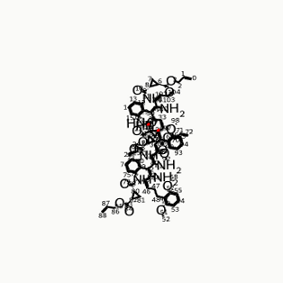 C=CCOC(=O)[C@@H]1C[C@H]1C(=O)Nc1cccc(NC(=O)C2(C(=O)OCC=C)CC2)c1/C(C(=N)\C=C/C=C(/C=C/C=C(N)/C(=C(N)/C=C\CCc1c(OC)cccc1OC)c1c(NC(=O)[C@@H]2C[C@H]2C(=O)OCC=C)cccc1NC(=O)[C@@H]1C[C@H]1C(=O)OCC=C)c1c(OC)cccc1OC)=C(N)\C=C/CC